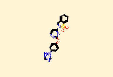 O=S1(=O)c2ccccc2CN1c1ccnc(Oc2ccc(-n3cncn3)cc2)n1